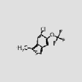 [CH2]c1scc2cc(OC(F)(F)F)c(Cl)cc12